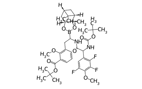 COc1c(CC(NC(=O)C(NC(=O)OC(C)(C)C)c2cc(F)c(OC)c(F)c2F)B2O[C@@H]3C[C@@H]4C[C@@H](C4(C)C)[C@]3(C)O2)cccc1C(=O)OC(C)(C)C